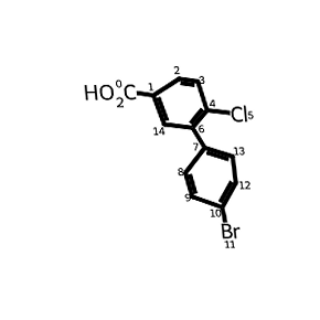 O=C(O)c1ccc(Cl)c(-c2ccc(Br)cc2)c1